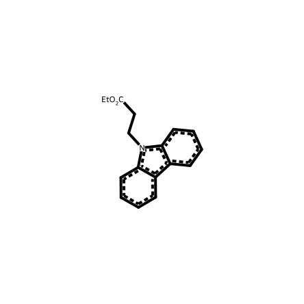 CCOC(=O)CCn1c2ccccc2c2ccccc21